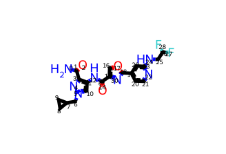 NC(=O)c1nn(CC2CC2)cc1NC(=O)c1coc(-c2ccnc(NCC(F)F)c2)n1